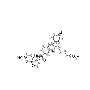 N#Cc1ccc2c(c1)OCC[C@@H]2NC(=O)c1ccc2nc(-c3ccc(Cl)cc3)c(CCCCC(=O)O)nc2c1